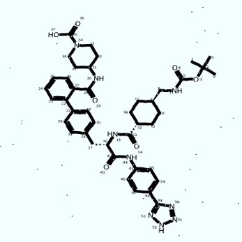 CC(C)(C)OC(=O)NC[C@H]1CC[C@H](C(=O)N[C@@H](Cc2ccc(-c3ccccc3C(=O)NC3CCN(C(=O)O)CC3)cc2)C(=O)Nc2ccc(-c3nn[nH]n3)cc2)CC1